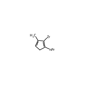 CCCC1=[C]([Zr])C(C)=CC1